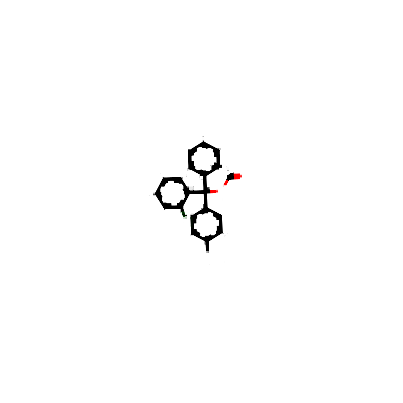 CCC(C)C(=O)OC(c1ccccc1)(c1ccc(C)cc1)c1ccccc1Cl